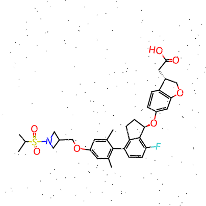 Cc1cc(OCC2CN(S(=O)(=O)C(C)C)C2)cc(C)c1-c1ccc(F)c2c1CC[C@H]2Oc1ccc2c(c1)OC[C@H]2CC(=O)O